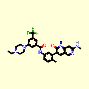 CCN1CCN(c2cc(C(=O)Nc3ccc(C)c(-c4cc5cnc(NC)cc5n(C)c4=O)c3)cc(C(F)(F)F)c2)CC1